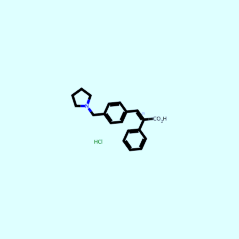 Cl.O=C(O)/C(=C/c1ccc(CN2CCCC2)cc1)c1ccccc1